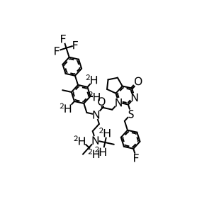 [2H]c1c([2H])c(-c2ccc(C(F)(F)F)cc2)c(C)c([2H])c1CN(CCN(C([2H])([2H])C)C([2H])([2H])C)C(=O)Cn1c(SCc2ccc(F)cc2)nc(=O)c2c1CCC2